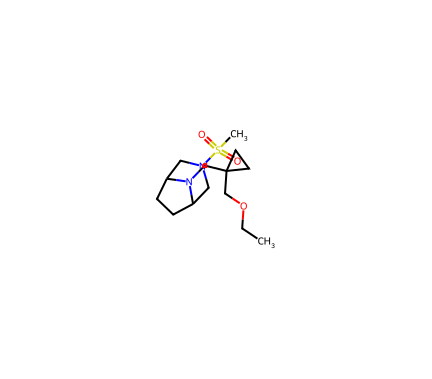 CCOCC1(CN2C3CCC2CN(S(C)(=O)=O)C3)CC1